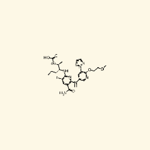 CCC[C@@H](Nc1nc(Nc2cnc(OCCOC)c(-n3nccn3)c2)c(C(N)=O)cc1F)[C@H](C)NC(=O)O